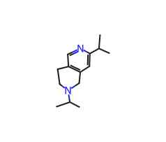 CC(C)c1cc2c(cn1)CCN(C(C)C)C2